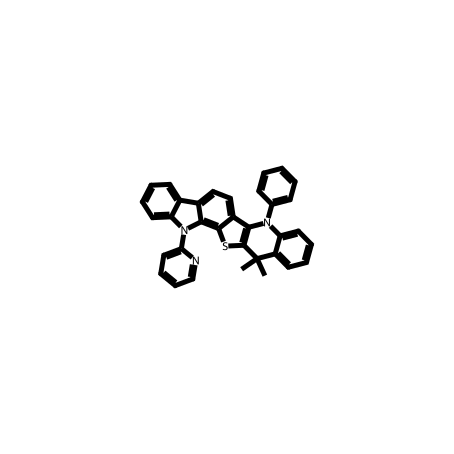 CC1(C)c2ccccc2N(c2ccccc2)c2c1sc1c2ccc2c3ccccc3n(-c3ccccn3)c21